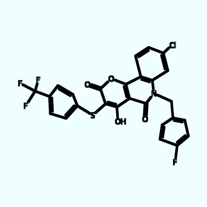 O=c1oc2c(c(O)c1Sc1ccc(C(F)(F)F)cc1)c(=O)n(Cc1ccc(F)cc1)c1cc(Cl)ccc21